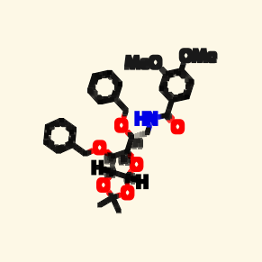 COc1ccc(C(=O)NC[C@@H](OCc2ccccc2)[C@H]2O[C@@H]3OC(C)(C)O[C@@H]3[C@H]2OCc2ccccc2)cc1OC